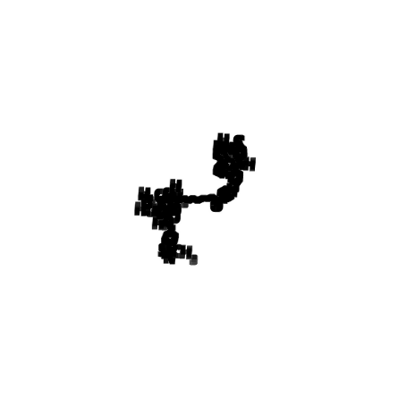 Cc1ccc(NC(=O)c2ccc(CN3CCN(C(=O)CCCCCCCCNC(C(=O)N4CC(O)CC4C(=O)NCc4ccc(-c5scnc5C)cc4)C(C)(C)C)CC3)cc2)cc1Nc1nccc(-c2cccnc2)n1